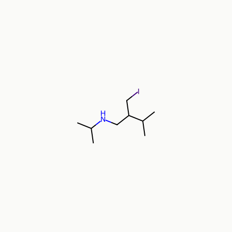 CC(C)NCC(CI)C(C)C